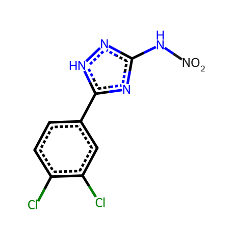 O=[N+]([O-])Nc1n[nH]c(-c2ccc(Cl)c(Cl)c2)n1